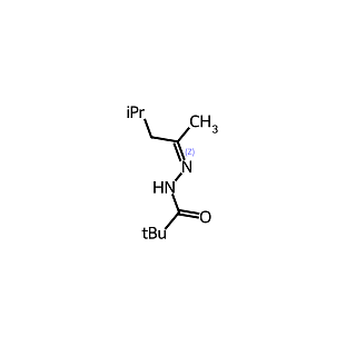 C/C(CC(C)C)=N/NC(=O)C(C)(C)C